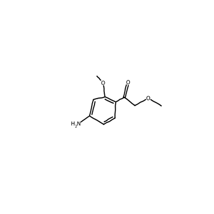 COCC(=O)c1ccc(N)cc1OC